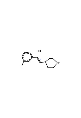 Cl.Fc1cccc(/C=C/C2CCNCC2)c1